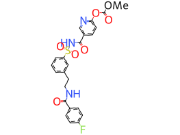 COC(=O)Oc1ccc(C(=O)NS(=O)(=O)c2cccc(CCNC(=O)c3ccc(F)cc3)c2)cn1